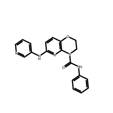 O=C(Nc1ccccc1)N1CCOc2ccc(Nc3cccnc3)nc21